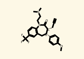 C#CC[C@H]1C(=O)N(CCN(C)C)c2ccc(C(F)(F)F)cc2C[C@H]1c1ccc(OC)cc1